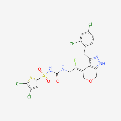 O=C(NCC(F)=C1COCc2[nH]nc(Cc3ccc(Cl)cc3Cl)c21)NS(=O)(=O)c1cc(Cl)c(Cl)s1